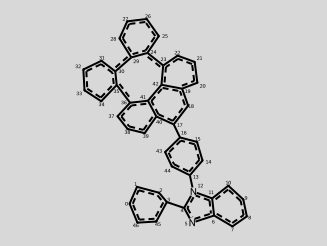 c1ccc(-c2nc3ccccc3n2-c2ccc(-c3cc4cccc5c6ccccc6c6ccccc6c6cccc3c6c45)cc2)cc1